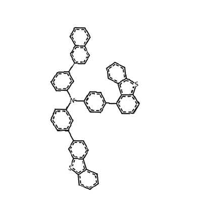 c1cc(-c2ccc3ccccc3c2)cc(N(c2ccc(-c3cccc4sc5ccccc5c34)cc2)c2cccc(-c3ccc4c(c3)sc3ccccc34)c2)c1